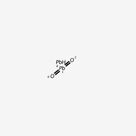 [O]=[Pb]=[O].[PbH2]